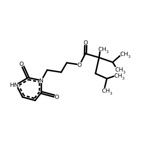 CC(C)CC(C)(C(=O)OCCCn1c(=O)cc[nH]c1=O)C(C)C